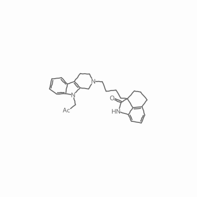 CC(=O)Cn1c2c(c3ccccc31)CCN(CCCCC13CCCc4cccc(c41)NC3=O)C2